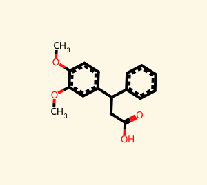 COc1ccc(C(CC(=O)O)c2ccccc2)cc1OC